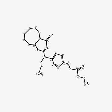 CCCN(C1=NC(=O)C2CCCCCCC2S1)c1ccc(OCC(=O)OCC)cc1